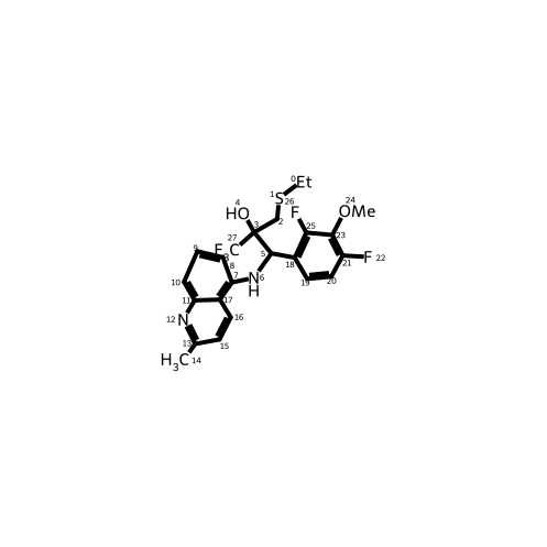 CCSCC(O)(C(Nc1cccc2nc(C)ccc12)c1ccc(F)c(OC)c1F)C(F)(F)F